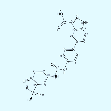 O=C(Nc1ccc(-c2ccc3[nH]nc(C(=O)O)c3c2)cc1)Nc1ccc(Cl)c(C(F)(F)F)c1